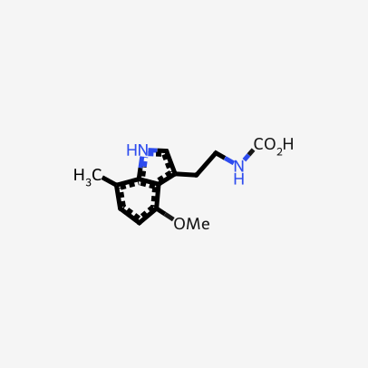 COc1ccc(C)c2[nH]cc(CCNC(=O)O)c12